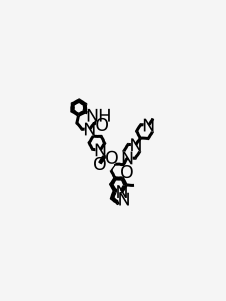 Cc1cc(C[C@@H](OC(=O)N2CCC(N3CCc4ccccc4NC3=O)CC2)C(=O)N2CCN(C3CCN(C)CC3)CC2)cc2ccnn12